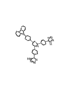 c1ccc2c(c1)c1ccccc1n2-c1ccc(-c2cc(-c3ccc(-c4nnn[nH]4)cc3)nc(-c3ccc(-c4nnn[nH]4)cc3)c2)cc1